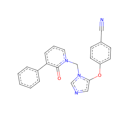 N#Cc1ccc(Oc2cncn2Cn2cccc(-c3ccccc3)c2=O)cc1